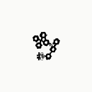 CC1(C)OB(c2cccc(-c3ccc4c5ccccc5n(-c5ccc6c(c5)-c5ccccc5C6(c5ccccc5)c5ccccc5)c4c3)c2)OC1(C)C